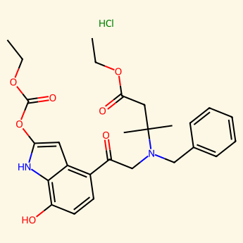 CCOC(=O)CC(C)(C)N(CC(=O)c1ccc(O)c2[nH]c(OC(=O)OCC)cc12)Cc1ccccc1.Cl